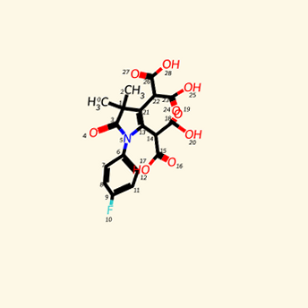 CC1(C)C(=O)N(c2ccc(F)cc2)C(C(C(=O)O)C(=O)O)=C1C(C(=O)O)C(=O)O